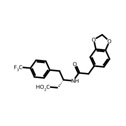 O=C(O)C[C@H](Cc1ccc(C(F)(F)F)cc1)NC(=O)Cc1ccc2c(c1)OCO2